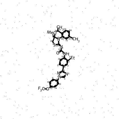 CCc1cc(-c2ncn(-c3ccc(OC(F)(F)F)cc3)n2)ccc1NC(=O)N=C1SCC(=O)N1c1cc(C)ccc1C(C)OC